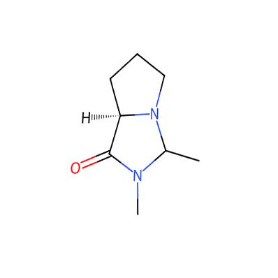 CC1N(C)C(=O)[C@H]2CCCN12